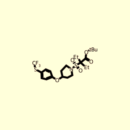 CCC(CC)(C(=O)OC(C)(C)C)S(=O)(=O)N1CCC(Oc2ccc(SC(F)(F)F)cc2)CC1